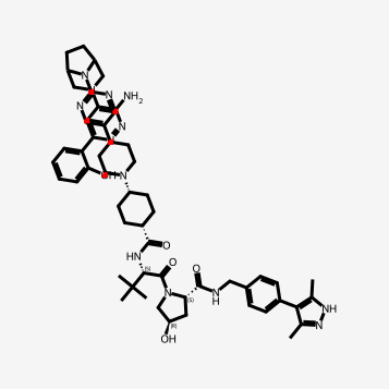 Cc1n[nH]c(C)c1-c1ccc(CNC(=O)[C@@H]2C[C@@H](O)CN2C(=O)[C@@H](NC(=O)[C@H]2CC[C@@H](N3CCC(c4cnc(N5C6CCC5CN(c5cc(-c7ccccc7O)nnc5N)C6)nc4)CC3)CC2)C(C)(C)C)cc1